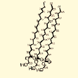 CCCCCCCCCCCCCCCCCC(=O)OCO.CCCCCCCCCCCCCCCCCC(=O)OCO.CCCCCCCCCCCCCCCCCC(=O)OCO